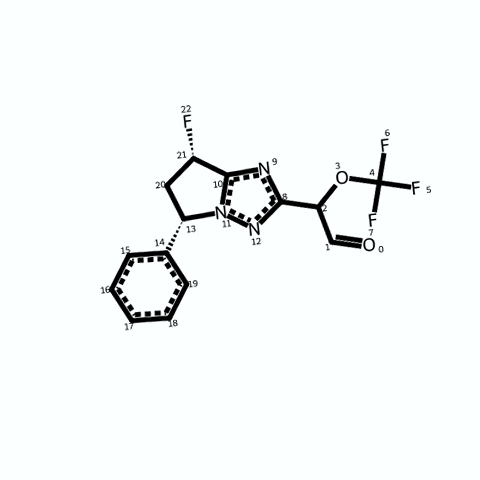 O=CC(OC(F)(F)F)c1nc2n(n1)[C@H](c1ccccc1)C[C@@H]2F